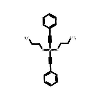 CCCO[Si](C#Cc1ccccc1)(C#Cc1ccccc1)OCCC